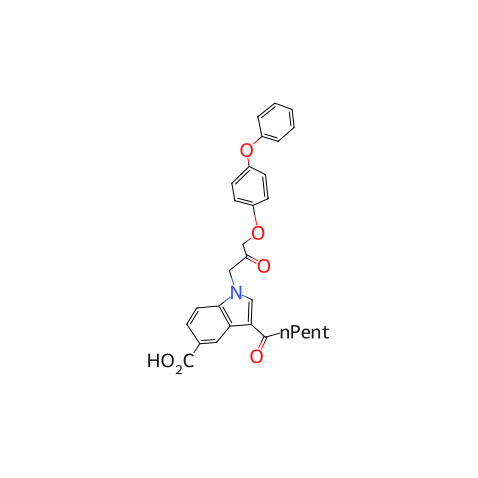 CCCCCC(=O)c1cn(CC(=O)COc2ccc(Oc3ccccc3)cc2)c2ccc(C(=O)O)cc12